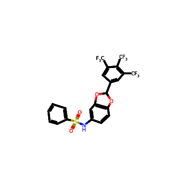 O=S(=O)(Nc1ccc2c(c1)OC(c1cc(C(F)(F)F)c(C(F)(F)F)c(C(F)(F)F)c1)O2)c1ccccc1